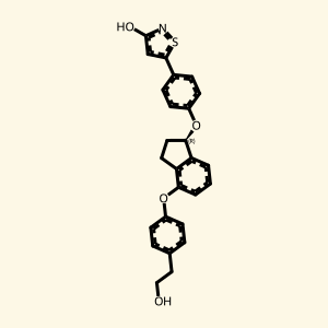 OCCc1ccc(Oc2cccc3c2CC[C@H]3Oc2ccc(-c3cc(O)ns3)cc2)cc1